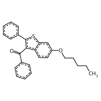 CCCCCOc1ccc2c(C(=O)c3ccccc3)c(-c3ccccc3)sc2c1